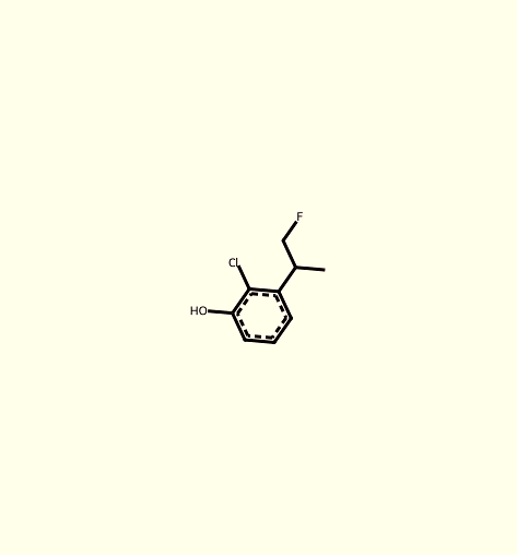 C[C](CF)c1cccc(O)c1Cl